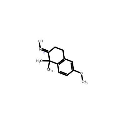 COc1ccc2c(c1)CC/C(=N\O)C2(C)C